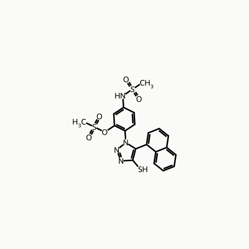 CS(=O)(=O)Nc1ccc(-n2nnc(S)c2-c2cccc3ccccc23)c(OS(C)(=O)=O)c1